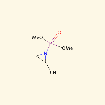 COP(=O)(OC)N1CC1C#N